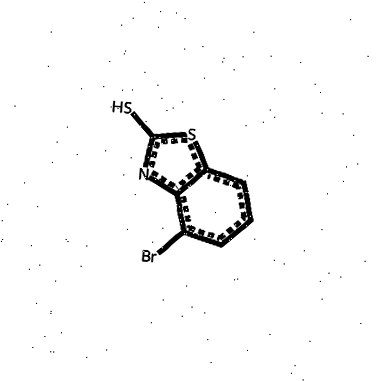 Sc1nc2c(Br)cccc2s1